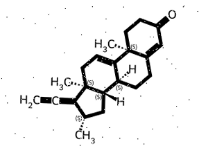 C=C=C1[C@@H](C)C[C@H]2[C@@H]3CCC4=CC(=O)CC[C@]4(C)C3=CC[C@]12C